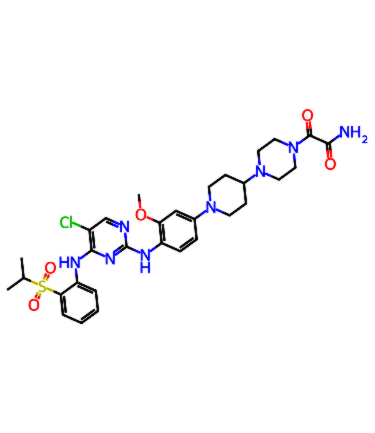 COc1cc(N2CCC(N3CCN(C(=O)C(N)=O)CC3)CC2)ccc1Nc1ncc(Cl)c(Nc2ccccc2S(=O)(=O)C(C)C)n1